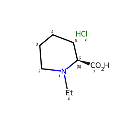 CCN1CCCC[C@H]1C(=O)O.Cl